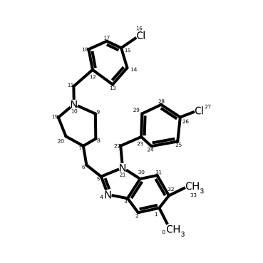 Cc1cc2nc(CC3CCN(Cc4ccc(Cl)cc4)CC3)n(Cc3ccc(Cl)cc3)c2cc1C